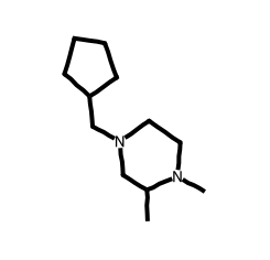 CC1CN(CC2CCCC2)CCN1C